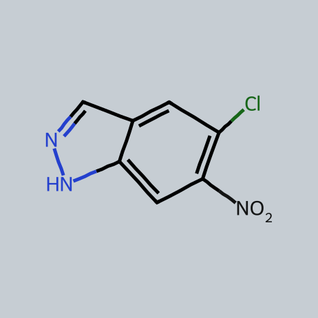 O=[N+]([O-])c1cc2[nH]ncc2cc1Cl